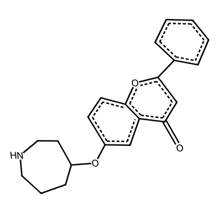 O=c1cc(-c2ccccc2)oc2ccc(OC3CCCNCC3)cc12